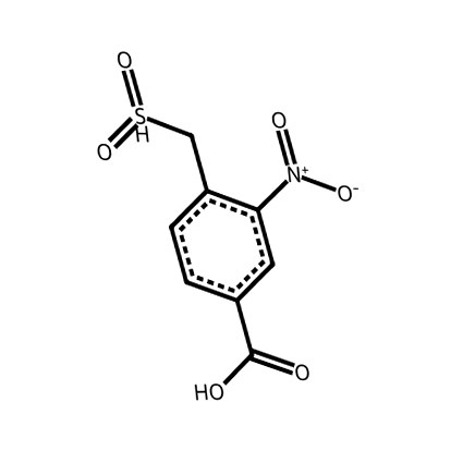 O=C(O)c1ccc(C[SH](=O)=O)c([N+](=O)[O-])c1